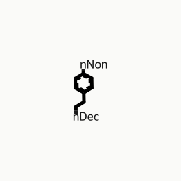 CCCCCCCCCCCCc1ccc(CCCCCCCCC)cc1